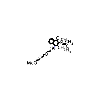 COCCOCCOCCO/N=C1/C(C)=C(N(C)C=C(C)C)C(=O)c2ccccc21